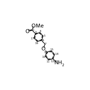 COC(=O)c1ccc(COc2ccc(N)cc2)cc1